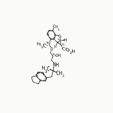 Cc1ccc([C@@H](C)OC[C@H](O)CNC(C)(C)Cc2ccc3c(c2)CCC3)c2c1O[C@@H]1[C@@H](C(=O)O)[C@H]21